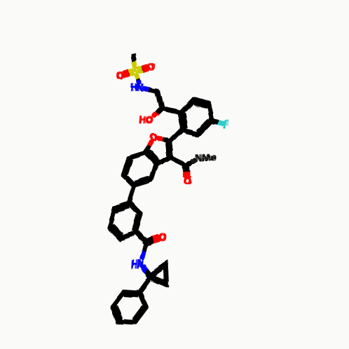 CNC(=O)c1c(-c2cc(F)ccc2C(O)CNS(C)(=O)=O)oc2ccc(-c3cccc(C(=O)NC4(c5ccccc5)CC4)c3)cc12